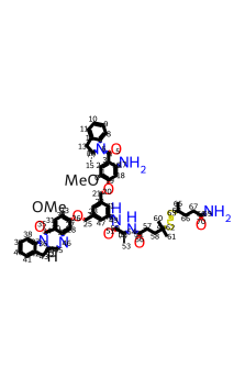 COc1cc(C(=O)N2c3ccccc3C[C@H]2C)c(N)cc1OCc1cc(COc2cc3c(cc2OC)C(=O)N2c4ccccc4C[C@H]2C=N3)cc(NC(=O)[C@H](C)NC(=O)CCC(C)(C)SSC(C)CCC(N)=O)c1